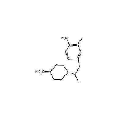 Cc1cc(CN(C)[C@H]2CC[C@H](C(=O)O)CC2)ccc1N